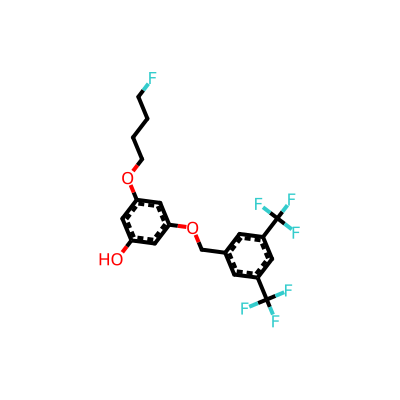 Oc1cc(OCCCCF)cc(OCc2cc(C(F)(F)F)cc(C(F)(F)F)c2)c1